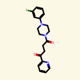 O=C(CCC(=O)N1CCN(c2cccc(F)c2)CC1)c1ccccn1